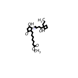 CCCC1([C@H](O)C/C=C/[C@@H]2C(CCCCCCC(=O)OC)C(=O)C[C@H]2O)CCC1